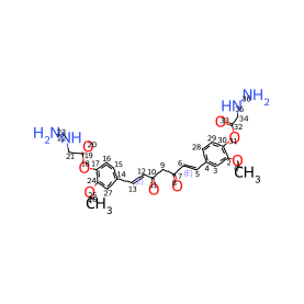 COc1cc(/C=C/C(=O)CC(=O)/C=C/c2ccc(OC(=O)CNN)c(OC)c2)ccc1OC(=O)CNN